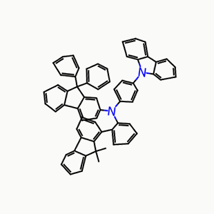 CC1(C)c2ccccc2-c2cccc(-c3ccccc3N(c3ccc(-n4c5ccccc5c5ccccc54)cc3)c3ccc4c(c3)C(c3ccccc3)(c3ccccc3)c3ccccc3-4)c21